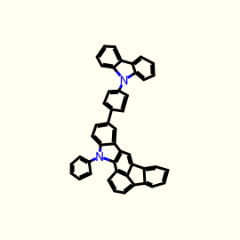 c1ccc(-n2c3ccc(-c4ccc(-n5c6ccccc6c6ccccc65)cc4)cc3c3cc4c5c(cccc5c32)-c2ccccc2-4)cc1